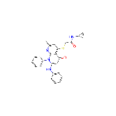 Cc1cc(SCC(=O)NC2CC2)c2c(=O)cc(Nc3ccccc3)n(-c3ccccc3)c2n1